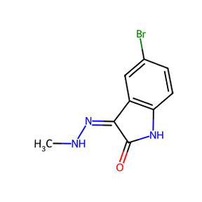 CN/N=C1\C(=O)Nc2ccc(Br)cc21